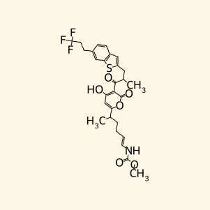 COC(=O)N/C=C/CCC(C)c1cc(O)c(C(=O)C(C)Cc2cc3ccc(CCC(F)(F)F)cc3s2)c(=O)o1